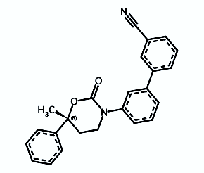 C[C@]1(c2ccccc2)CCN(c2cccc(-c3cccc(C#N)c3)c2)C(=O)O1